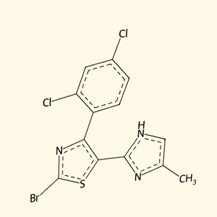 Cc1c[nH]c(-c2sc(Br)nc2-c2ccc(Cl)cc2Cl)n1